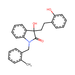 Cc1ccccc1CN1C(=O)C(O)(CCc2ccccc2O)c2ccccc21